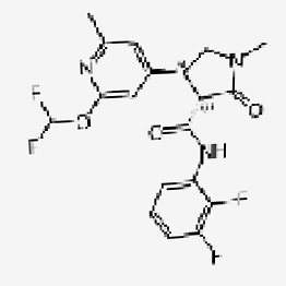 Cc1cc([C@H]2CN(C)C(=O)[C@@H]2C(=O)Nc2cccc(F)c2F)cc(OC(F)F)n1